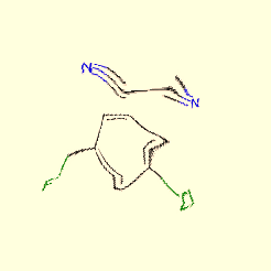 Fc1cccc(Cl)c1.N#CC#N